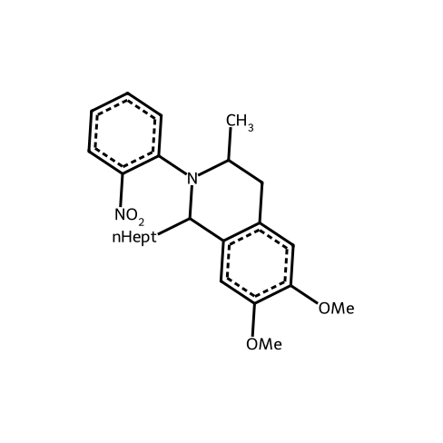 CCCCCCCC1c2cc(OC)c(OC)cc2CC(C)N1c1ccccc1[N+](=O)[O-]